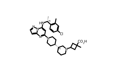 Cc1cc(Cl)ccc1[C@@H](C)Nc1cc(N2CCC([C@H]3CCCN(C4CC(C)(C(=O)O)C4)C3)CC2)nc2ccnn12